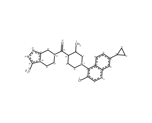 CC1CN(c2c(Cl)cnc3cc(C4CC4)ccc23)CCC1C(=O)N1CCn2c(nnc2C(F)(F)F)C1